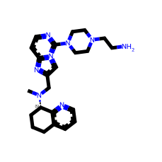 CN(Cc1cn2c(N3CCN(CCN)CC3)nccc2n1)[C@H]1CCCc2cccnc21